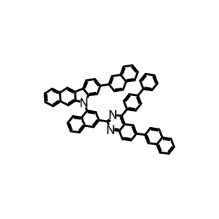 c1ccc(-c2ccc(-c3nc(-c4cc(-n5c6cc(-c7ccc8ccccc8c7)ccc6c6cc7ccccc7cc65)c5ccccc5c4)nc4ccc(-c5ccc6ccccc6c5)cc34)cc2)cc1